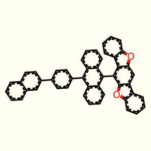 c1ccc2cc(-c3ccc(-c4c5ccccc5c(-c5c6oc7ccccc7c6cc6oc7ccccc7c56)c5ccccc45)cc3)ccc2c1